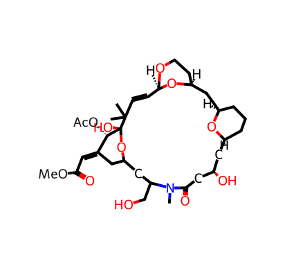 COC(=O)/C=C1\CC2CC(CO)N(C)C(=O)C[C@H](O)C[C@@H]3CCC[C@H](C[C@@H]4CCO[C@H](/C=C/C(C)(C)[C@](O)(O2)[C@H]1OC(C)=O)O4)O3